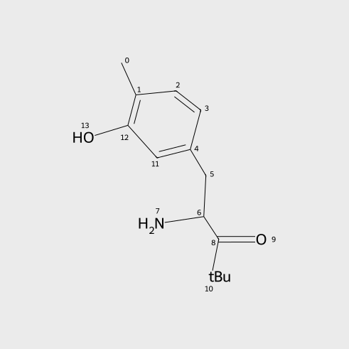 Cc1ccc(CC(N)C(=O)C(C)(C)C)cc1O